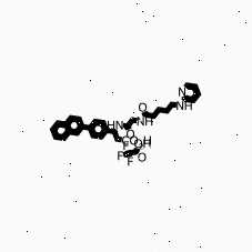 O=C(O)C(F)(F)F.O=C(O)CC(NC(=O)CNC(=O)CCCCNc1ccccn1)c1ccc(-c2ccc3ccccc3c2)cc1